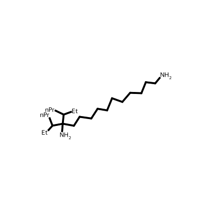 CCCC(CC)C(N)(CCCCCCCCCCCN)C(CC)CCC